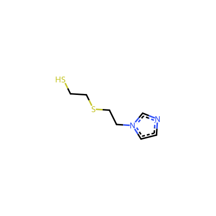 SCCSCCn1ccnc1